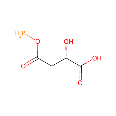 O=C(C[C@H](O)C(=O)O)OP